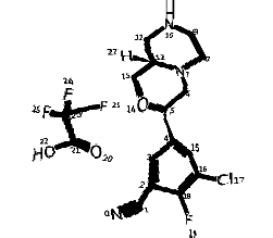 N#Cc1cc([C@@H]2CN3CCNC[C@H]3CO2)cc(Cl)c1F.O=C(O)C(F)(F)F